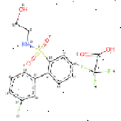 O=C(O)C(F)(F)F.O=S(=O)(NCCO)c1ccccc1-c1cccc(F)c1